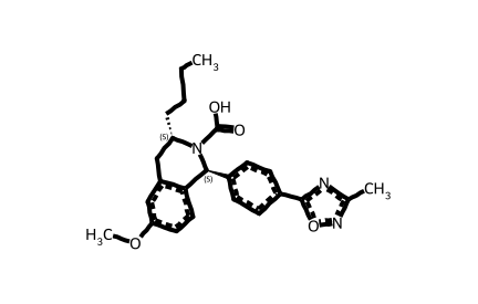 CCCC[C@H]1Cc2cc(OC)ccc2[C@H](c2ccc(-c3nc(C)no3)cc2)N1C(=O)O